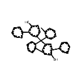 Cc1ccccc1C(c1ccc(O)c(-c2ccccc2)c1)(c1ccc(O)c(-c2ccccc2)c1)c1ccccc1C